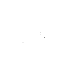 C=C(C)/C=C1\C(=N)/C(=C\C=C\CC)N2CC[C@@]1(I)C2